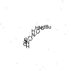 CC(C)(C)SNc1ccc(CNc2ccc(NS(C)(=O)=O)cc2)cc1